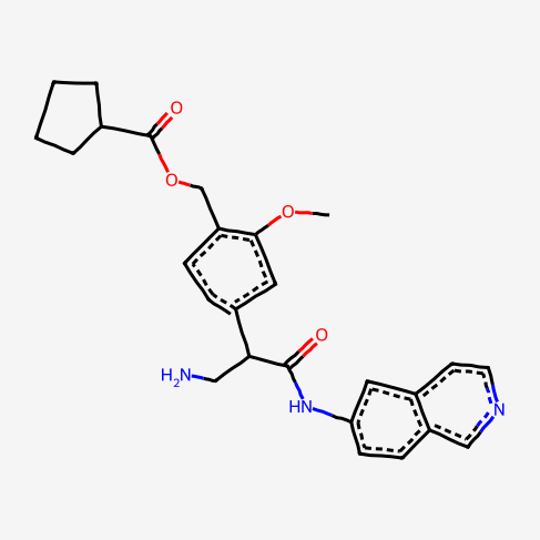 COc1cc(C(CN)C(=O)Nc2ccc3cnccc3c2)ccc1COC(=O)C1CCCC1